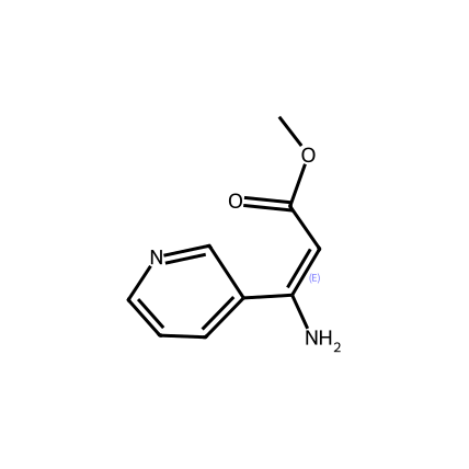 COC(=O)/C=C(/N)c1cccnc1